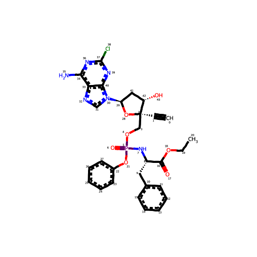 C#C[C@]1(COP(=O)(N[C@@H](Cc2ccccc2)C(=O)OCC)Oc2ccccc2)O[C@@H](n2cnc3c(N)nc(Cl)nc32)C[C@@H]1O